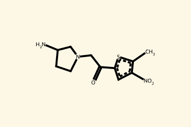 Cc1sc(C(=O)CN2CCC(N)C2)cc1[N+](=O)[O-]